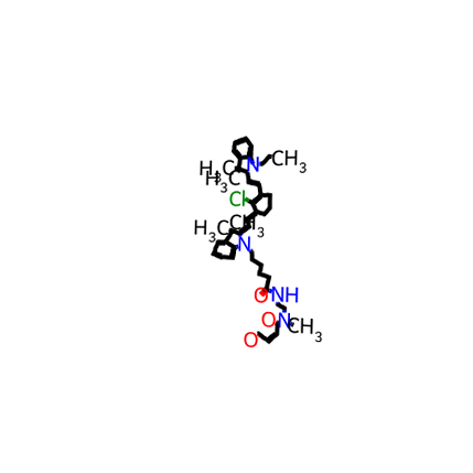 CCCN1c2ccccc2C(C)(C)C1/C=C/C1=C(Cl)C(=C/C=C2/N(CCCCCC(=O)NCCN(C)C(=O)/C=C\C=O)c3ccccc3C2(C)C)/CCC1